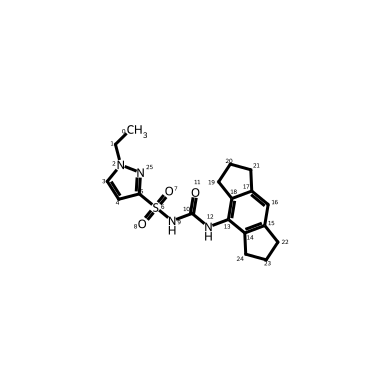 CCn1ccc(S(=O)(=O)NC(=O)Nc2c3c(cc4c2CCC4)CCC3)n1